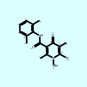 CCCCn1c(C)c(C(=O)Nc2c(C)cccc2C)c(=O)c(C)c1CC